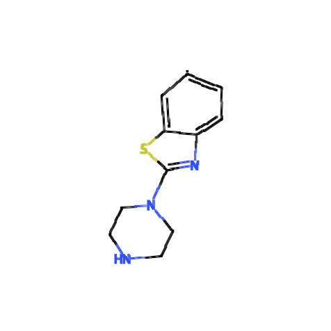 [c]1ccc2nc(N3CCNCC3)sc2c1